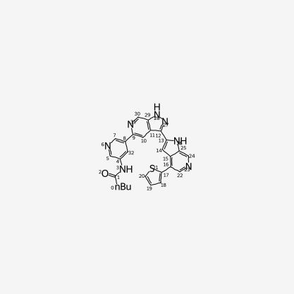 CCCCC(=O)Nc1cncc(-c2cc3c(-c4cc5c(-c6cccs6)cncc5[nH]4)n[nH]c3cn2)c1